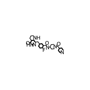 CN(C(=O)c1cc(Cc2n[nH]c(=O)c3c2NCCC3)ccc1F)C1CCN(C(=O)c2ccncc2)CC1